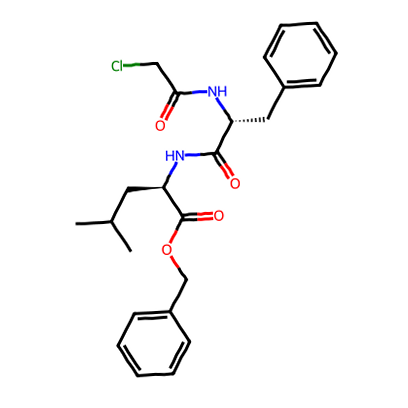 CC(C)C[C@@H](NC(=O)[C@@H](Cc1ccccc1)NC(=O)CCl)C(=O)OCc1ccccc1